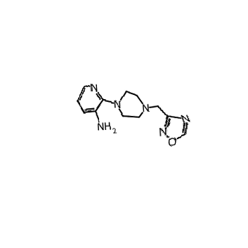 Nc1cccnc1N1CCN(Cc2ncon2)CC1